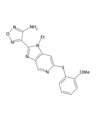 CCn1c(-c2nonc2N)nc2cnc(Sc3ccccc3OC)cc21